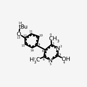 Cc1nc(O)nc(C)c1-c1ccc(OC(C)(C)C)cc1